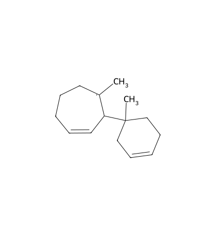 C[C]1CCCC=CC1C1(C)CC=CCC1